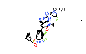 O=C(O)N1C[C@@H](F)C[C@H](Nc2ncc3cc(-c4ccc(NS(=O)(=O)Cc5ccccc5)c(F)c4F)c(=O)n(C4CC4)c3n2)C1